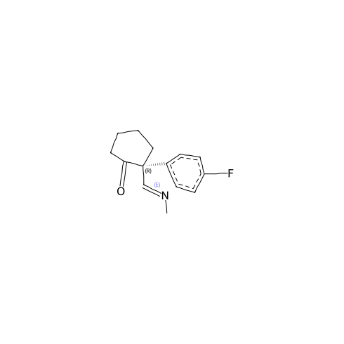 C/N=C/[C@]1(c2ccc(F)cc2)CCCCC1=O